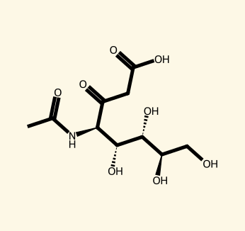 CC(=O)N[C@@H](C(=O)CC(=O)O)[C@@H](O)[C@H](O)[C@H](O)CO